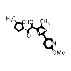 COc1ccc(-c2nc(C(C=O)C(=O)[C@@H]3CC[C@@H](C)C3)c(C)s2)cn1